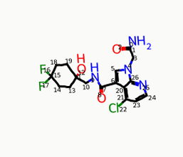 NC(=O)Cn1cc(C(=O)NCC2(O)CCC(F)(F)CC2)c2c(Cl)ccnc21